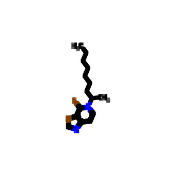 CCCCCCCC(C)n1ccc2ncsc2c1=S